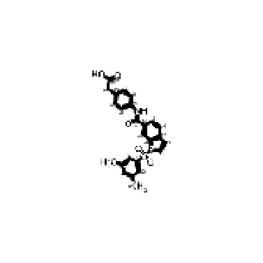 Cc1cc(C)cc(S(=O)(=O)n2ccc3ccc(C(=O)Nc4ccc(CC(=O)O)cc4)cc32)c1